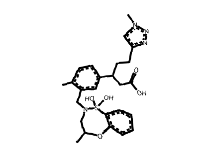 Cc1ccc(C(CCc2cn(C)nn2)CC(=O)O)cc1CN1CC(C)Oc2ccccc2S1(O)O